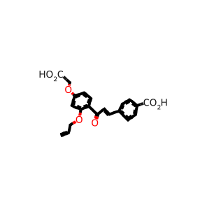 C=CCOc1cc(OCC(=O)O)ccc1C(=O)C=Cc1ccc(C(=O)O)cc1